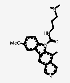 COc1ccc2c(c1)c1cc3cnccc3c(C)c1n2C(=O)NCCCN(C)C